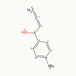 C=C=CC(O)c1ccc(C(C)(C)C)cc1